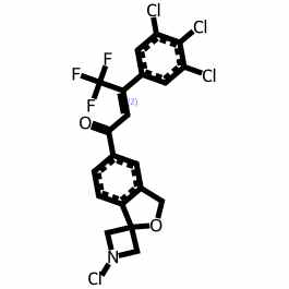 O=C(/C=C(/c1cc(Cl)c(Cl)c(Cl)c1)C(F)(F)F)c1ccc2c(c1)COC21CN(Cl)C1